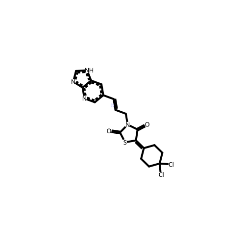 O=C1SC(=C2CCC(Cl)(Cl)CC2)C(=O)N1C/C=C/c1cnc2nc[nH]c2c1